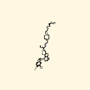 O=C(/C=C/CN1CCN(CCOCCO)CC1)N1CCc2c(sc3ncnc(Nc4ccc(F)c(Cl)c4)c23)C1